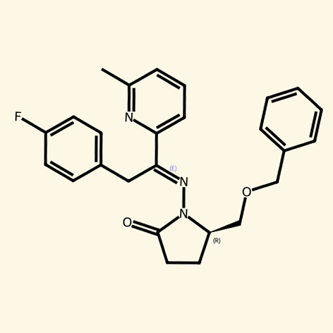 Cc1cccc(/C(Cc2ccc(F)cc2)=N/N2C(=O)CC[C@@H]2COCc2ccccc2)n1